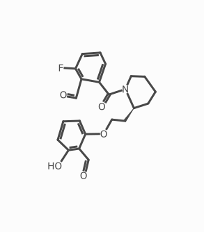 O=Cc1c(O)cccc1OCC[C@@H]1CCCCN1C(=O)c1cccc(F)c1C=O